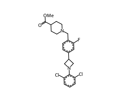 COC(=O)C1CCN(Cc2ccc(C3CN(c4c(Cl)cccc4Cl)C3)cc2F)CC1